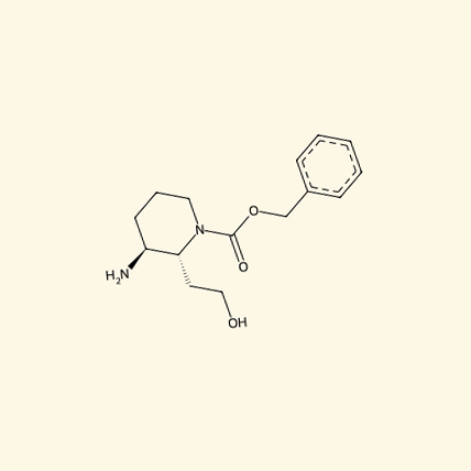 N[C@H]1CCCN(C(=O)OCc2ccccc2)[C@@H]1CCO